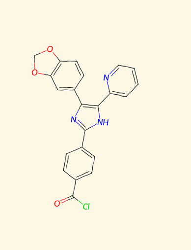 O=C(Cl)c1ccc(-c2nc(-c3ccc4c(c3)OCO4)c(-c3ccccn3)[nH]2)cc1